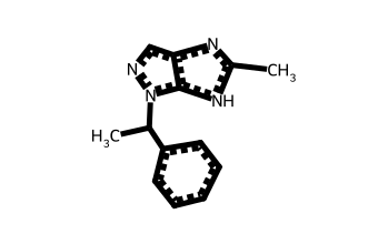 Cc1nc2cnn(C(C)c3ccccc3)c2[nH]1